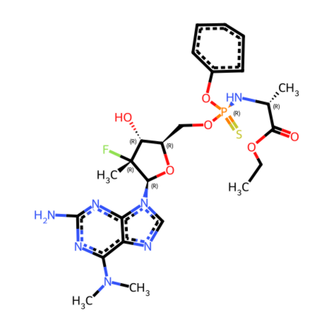 CCOC(=O)[C@@H](C)N[P@@](=S)(OC[C@H]1O[C@@H](n2cnc3c(N(C)C)nc(N)nc32)[C@](C)(F)[C@@H]1O)Oc1ccccc1